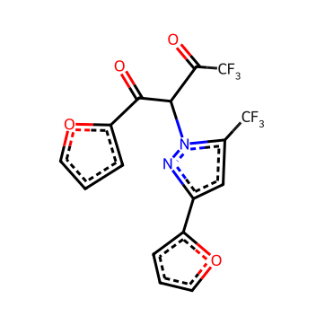 O=C(c1ccco1)C(C(=O)C(F)(F)F)n1nc(-c2ccco2)cc1C(F)(F)F